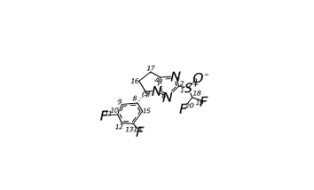 [O-][S+](c1nc2n(n1)[C@H](c1cc(F)cc(F)c1)CC2)C(F)F